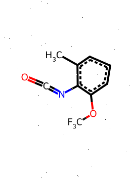 Cc1cccc(OC(F)(F)F)c1N=C=O